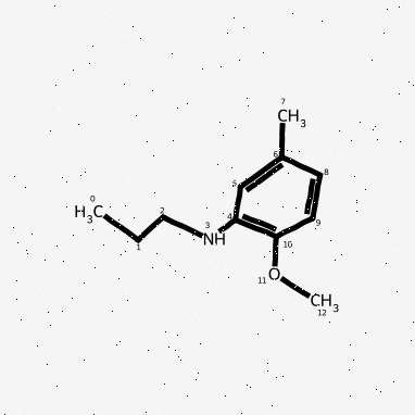 CCCNc1cc(C)ccc1OC